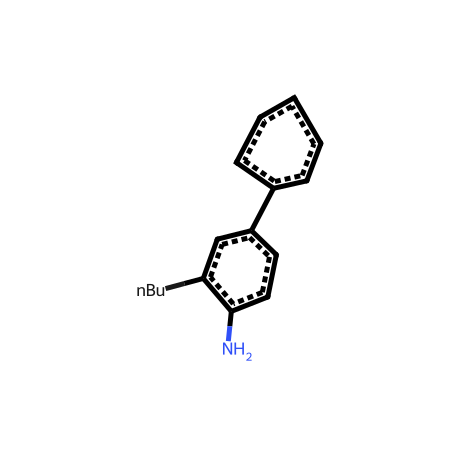 CCCCc1cc(-c2ccccc2)ccc1N